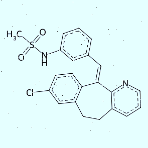 CS(=O)(=O)Nc1cccc(/C=C2\c3ccc(Cl)cc3CCc3cccnc32)c1